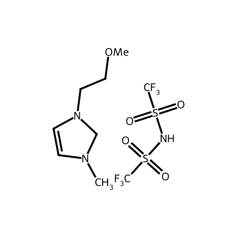 COCCN1C=CN(C)C1.O=S(=O)(NS(=O)(=O)C(F)(F)F)C(F)(F)F